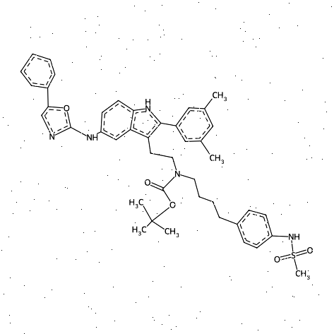 Cc1cc(C)cc(-c2[nH]c3ccc(Nc4ncc(-c5ccccc5)o4)cc3c2CCN(CCCCc2ccc(NS(C)(=O)=O)cc2)C(=O)OC(C)(C)C)c1